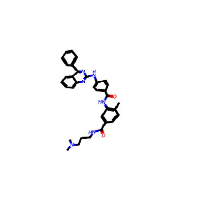 Cc1ccc(C(=O)NCCCN(C)C)cc1NC(=O)c1ccc(Nc2nc(-c3ccccc3)c3ccccc3n2)cc1